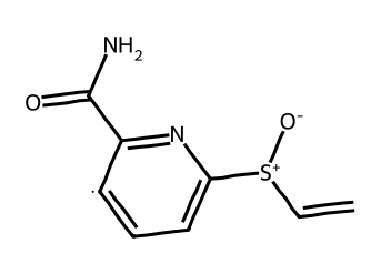 C=C[S+]([O-])c1cc[c]c(C(N)=O)n1